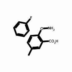 Cc1ccc(ON)c(C(=O)O)c1.Fc1ccccc1